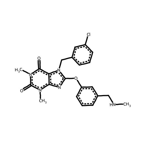 CNCc1cccc(Oc2nc3c(c(=O)n(C)c(=O)n3C)n2Cc2cccc(Cl)c2)c1